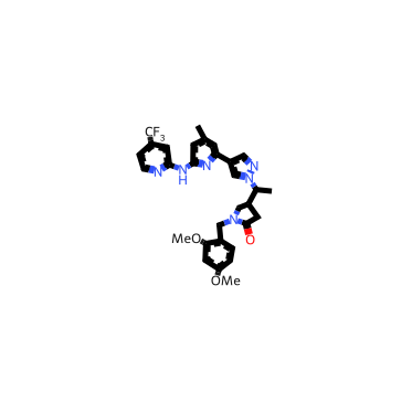 COc1ccc(CN2CC(C(C)n3cc(-c4cc(C)cc(Nc5cc(C(F)(F)F)ccn5)n4)cn3)CC2=O)c(OC)c1